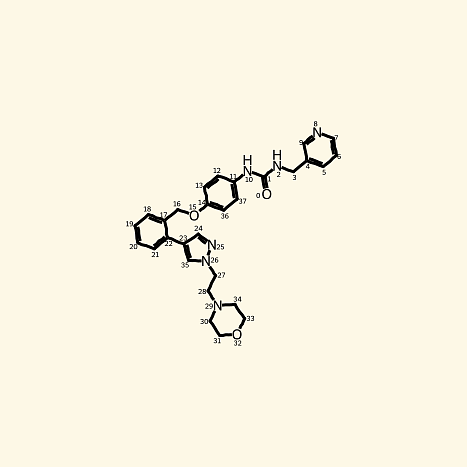 O=C(NCc1cccnc1)Nc1ccc(OCc2ccccc2-c2cnn(CCN3CCOCC3)c2)cc1